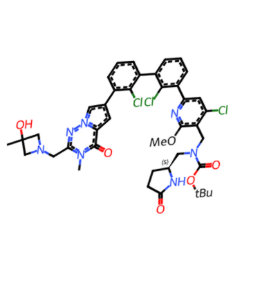 COc1nc(-c2cccc(-c3cccc(-c4cc5c(=O)n(C)c(CN6CC(C)(O)C6)nn5c4)c3Cl)c2Cl)cc(Cl)c1CN(C[C@@H]1CCC(=O)N1)C(=O)OC(C)(C)C